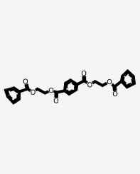 O=C(OCCOC(=O)c1ccc(C(=O)OCCOC(=O)c2ccccc2)cc1)c1ccccc1